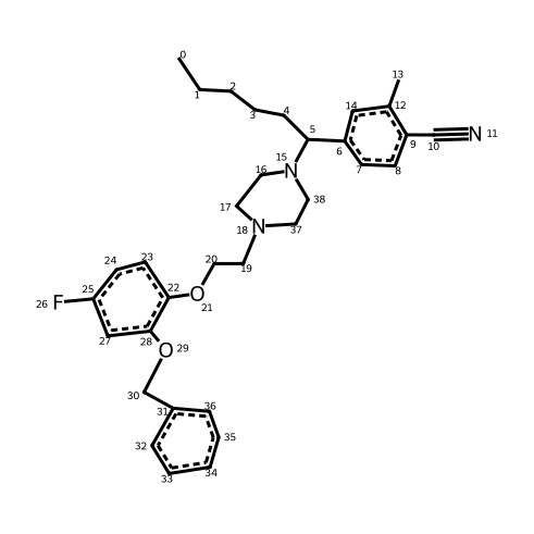 CCCCCC(c1ccc(C#N)c(C)c1)N1CCN(CCOc2ccc(F)cc2OCc2ccccc2)CC1